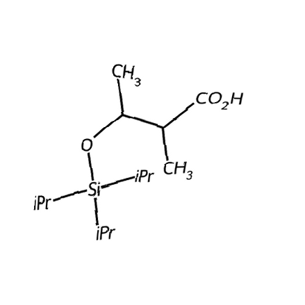 CC(O[Si](C(C)C)(C(C)C)C(C)C)C(C)C(=O)O